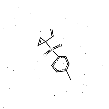 C=CC1(S(=O)(=O)c2ccc(C)cc2)C=C1